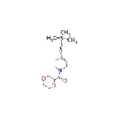 C[Si](C)(C)C#CC1=CCN(C(=O)C2COCCO2)CC1